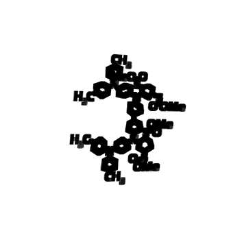 COC(=O)SC1C=C(N(c2ccc(-c3ccc(N(C4=CC(SC(=O)OC)CCC4SC(=O)OC)c4ccc(N(c5ccc(C)cc5)c5ccc(C)cc5)cc4)cc3)cc2)c2ccc(N(c3ccc(C)cc3)c3ccc(C)cc3)cc2)C(SC(=O)OC)CC1